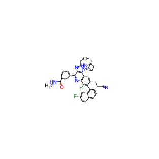 CCc1nc2c(-c3cccc(C(=O)NC)c3)nc3c(F)c(-c4cccc5ccc(F)cc45)c(CCC#N)cc3c2n1C1C2CNC1C2